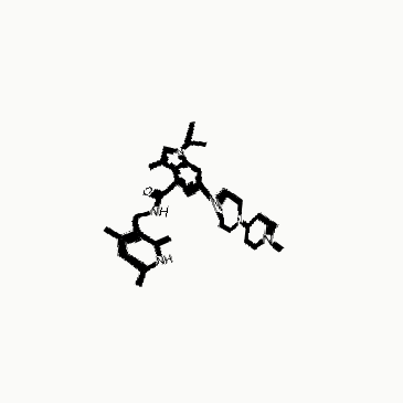 CC1=CC(C)=C(CNC(=O)c2cc(N3CCN(C4CCN(C)CC4)CC3)cc3c2c(C)cn3C(C)C)C(C)N1